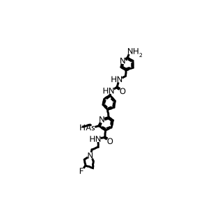 CC[AsH]c1nc(-c2ccc(NC(=O)NCc3ccc(N)nc3)cc2)ccc1C(=O)NCCN1CCC(F)C1